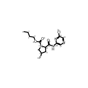 CCCCOC(=O)N1CC(F)CC1C(=O)Nc1cncc(Cl)n1